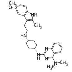 COc1ccc2[nH]c(C)c(CCN[C@H]3CC[C@@H](Nc4nc(N(C)C)c5ccccc5n4)CC3)c2c1